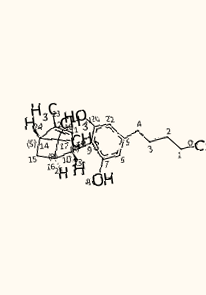 CCCCCc1cc(O)c([C@H]2C=C(C)[C@H]3C[C@H]2C3(C)C)c(O)c1